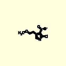 COCCn1cnc(Cl)c1[N+](=O)[O-]